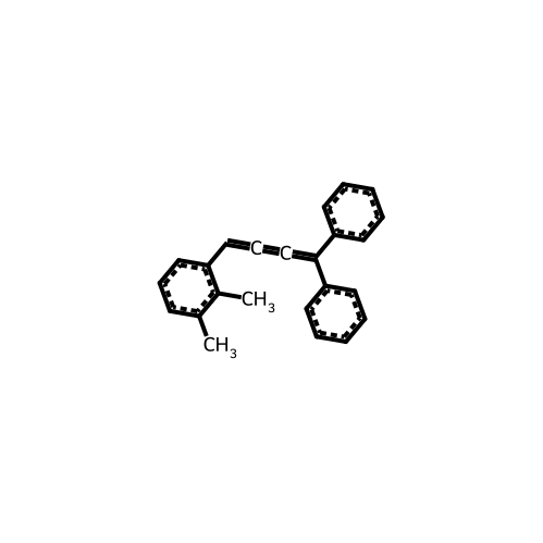 Cc1cccc(C=C=C=C(c2ccccc2)c2ccccc2)c1C